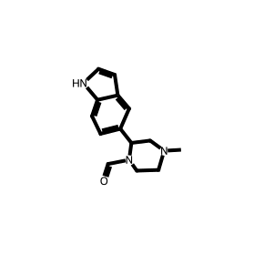 CN1CCN(C=O)C(c2ccc3[nH]ccc3c2)C1